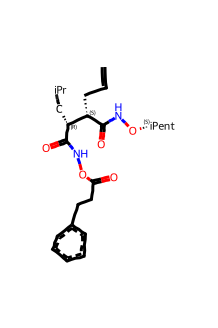 C=CC[C@H](C(=O)NO[C@@H](C)CCC)[C@@H](CC(C)C)C(=O)NOC(=O)CCc1ccccc1